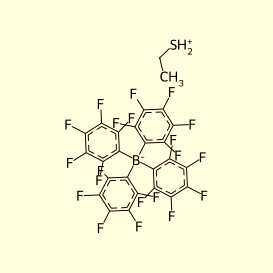 CC[SH2+].Fc1c(F)c(F)c([B-](c2c(F)c(F)c(F)c(F)c2F)(c2c(F)c(F)c(F)c(F)c2F)c2c(F)c(F)c(F)c(F)c2F)c(F)c1F